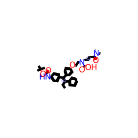 CC/C(=C(\c1ccc(NC(=O)OC(C)(C)C)cc1)c1ccc(OCCN(C/C=C/C(=O)N(C)C)C(=O)O)cc1)c1ccccc1